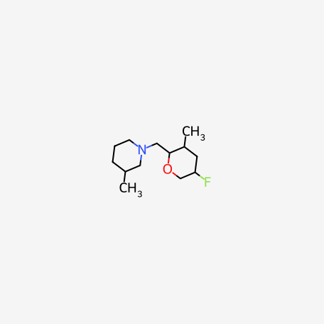 CC1CCCN(CC2OCC(F)CC2C)C1